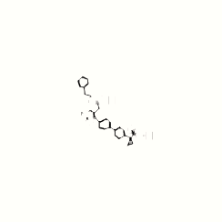 Cc1noc(-c2ccc(-c3ccc(C4(C(=O)O)CC4)cc3)cc2)c1C[C@@H](O)OCCc1ccccc1